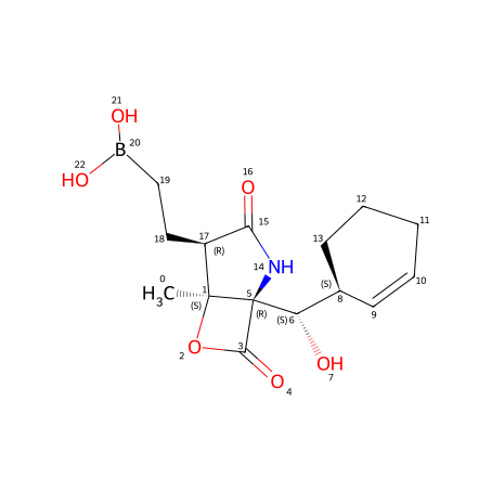 C[C@@]12OC(=O)[C@]1([C@@H](O)[C@@H]1C=CCCC1)NC(=O)[C@@H]2CCB(O)O